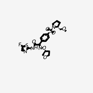 COC[C@H]1CCCN1S(=O)(=O)c1ccc(/C(=N\O[C@@H]2CCOC2)C(=O)Nc2ncc(F)s2)cc1